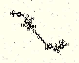 Cc1ncsc1-c1ccc([C@H](C)NC(=O)[C@@H]2C[C@@H](O)C(N=[N+]=[N-])(C(C)(C)C(C=O)NNCOCCCOCCCCCNc3ccc(N4C(=S)N(c5ccc(C#N)c(C(F)(F)F)c5)C(=O)C4(C)C)cn3)N2C)cc1